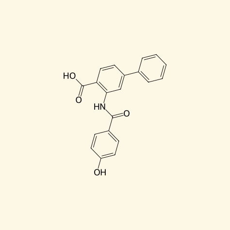 O=C(Nc1cc(-c2ccccc2)ccc1C(=O)O)c1ccc(O)cc1